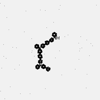 c1ccc(Nc2ccc(-c3ccc(-c4ccc(N(c5ccccc5)c5ccc(-c6ccc(-c7ccc(N(c8ccccc8)c8ccc(-c9ccccc9)cc8)cc7)cc6)cc5)cc4)cc3)cc2)cc1